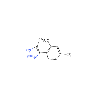 N#Cc1[nH]nnc1-c1ccc(C(F)(F)F)cc1C(F)(F)F